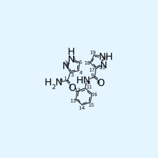 NC(=O)c1cc[nH]n1.O=C(Nc1ccccc1)c1cc[nH]n1